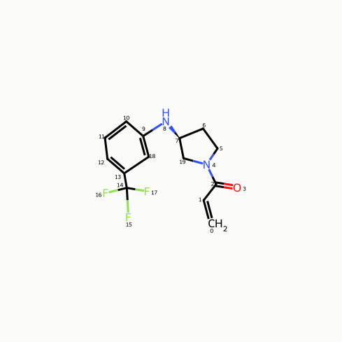 C=CC(=O)N1CC[C@H](Nc2cccc(C(F)(F)F)c2)C1